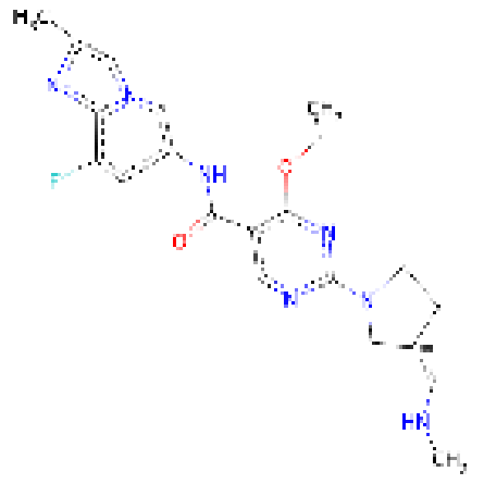 CCOc1nc(N2CC[C@H](CNC)C2)ncc1C(=O)Nc1cc(F)c2nc(C)cn2c1